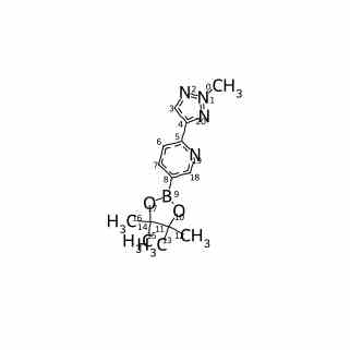 Cn1ncc(-c2ccc(B3OC(C)(C)C(C)(C)O3)cn2)n1